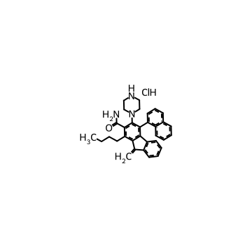 C=C1c2ccccc2-c2c1c(CCCC)c(C(N)=O)c(N1CCNCC1)c2-c1cccc2ccccc12.Cl